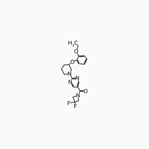 CCOc1ccccc1O[C@@H]1CCCN(c2ncc(C(=O)N3CC(F)(F)C3)cn2)C1